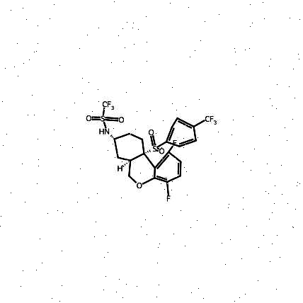 O=S(=O)(N[C@@H]1CC[C@@]2(S(=O)(=O)c3ccc(C(F)(F)F)cc3)c3c(F)ccc(F)c3OC[C@H]2C1)C(F)(F)F